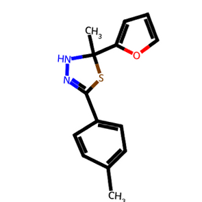 Cc1ccc(C2=NNC(C)(c3ccco3)S2)cc1